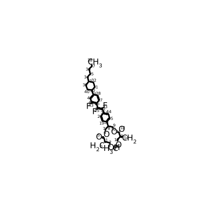 C=C(CO)C(=O)OCC(COC(=O)C(=C)COC)c1ccc(/C(F)=C(\F)c2ccc(C3CCC(CCCCC)CC3)cc2F)cc1